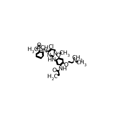 C=CC(=O)Nc1cc(Nc2ncc(Cl)c(Nc3ccccc3P(C)(C)=O)n2)c(OC)cc1OCCN(C)C